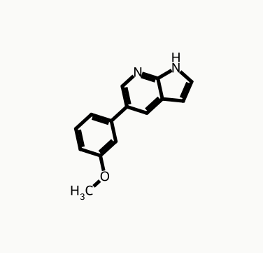 COc1cccc(-c2cnc3[nH]ccc3c2)c1